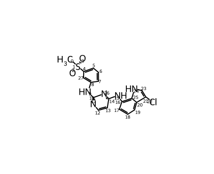 CS(=O)(=O)c1cccc(Nc2nccc(Nc3cccc4c(Cl)c[nH]c34)n2)c1